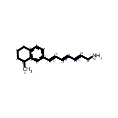 CC1CCCc2ccc(/C=C/C=C/C=C/CN)cc21